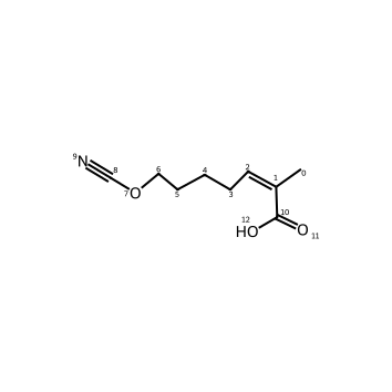 CC(=CCCCCOC#N)C(=O)O